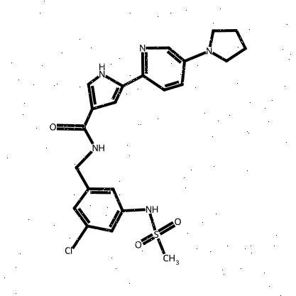 CS(=O)(=O)Nc1cc(Cl)cc(CNC(=O)c2c[nH]c(-c3ccc(N4CCCC4)cn3)c2)c1